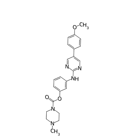 COc1ccc(-c2cnc(Nc3cccc(OC(=O)N4CCN(C)CC4)c3)nc2)cc1